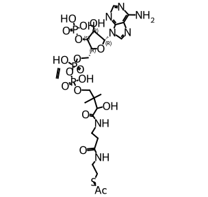 C=C.CC(=O)SCCNC(=O)CCNC(=O)C(O)C(C)(C)COP(=O)(O)OP(=O)(O)OC[C@H]1O[C@@H](n2cnc3c(N)ncnc32)[C@H](O)[C@@H]1OP(=O)(O)O